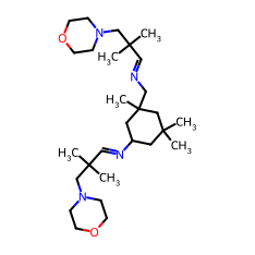 CC(C)(C=NCC1(C)CC(N=CC(C)(C)CN2CCOCC2)CC(C)(C)C1)CN1CCOCC1